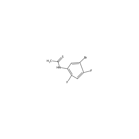 CC(=S)Nc1cc(Br)c(F)cc1F